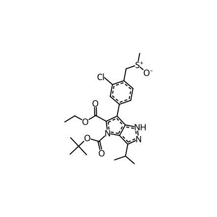 CCOC(=O)c1c(-c2ccc(C[S+](C)[O-])c(Cl)c2)c2[nH]nc(C(C)C)c2n1C(=O)OC(C)(C)C